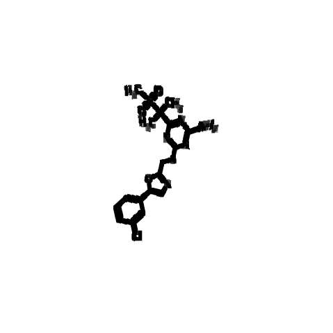 CC(C)(c1nc(N)nc(SCc2ncc(-c3cccc(Cl)c3)o2)n1)S(C)(=O)=O